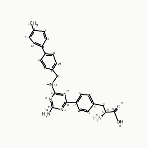 Cc1ccc(-c2ccc(CNc3nc(N)nc(-c4ccc(C[C@H](N)C(=O)O)cc4)n3)cc2)cc1